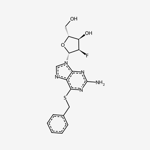 Nc1nc(SCc2ccccc2)c2ncn([C@@H]3O[C@H](CO)[C@@H](O)[C@H]3F)c2n1